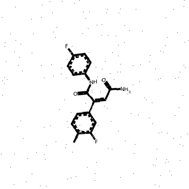 Cc1ccc(C(=CC(N)=O)C(=O)Nc2ccc(F)cc2)cc1F